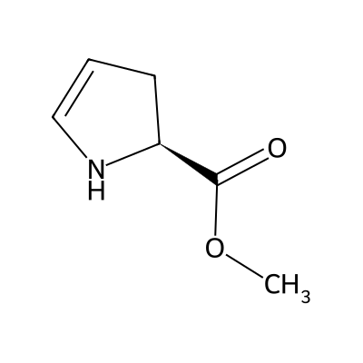 COC(=O)[C@@H]1CC=CN1